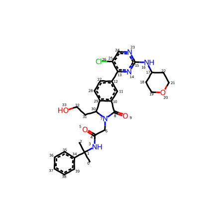 CC(C)(NC(=O)CN1C(=O)c2cc(-c3nc(NC4CCOCC4)ncc3Cl)ccc2C1CCO)c1ccccc1